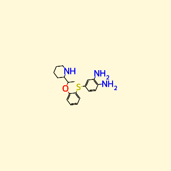 CC(Oc1ccccc1Sc1ccc(N)c(N)c1)C1CCCCN1